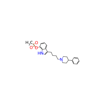 CS(=O)(=O)Oc1cccc2c(CCCCN3CCC(c4ccccc4)CC3)c[nH]c12